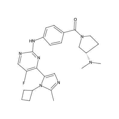 Cc1ncc(-c2nc(Nc3ccc(C(=O)N4CC[C@H](N(C)C)C4)cc3)ncc2F)n1C1CCC1